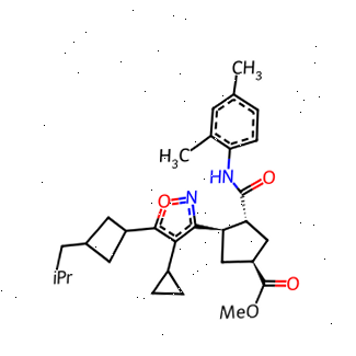 COC(=O)[C@@H]1C[C@@H](C(=O)Nc2ccc(C)cc2C)[C@H](c2noc(C3CC(CC(C)C)C3)c2C2CC2)C1